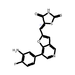 Nc1cc(-c2cncc3cc(/C=C4\SC(=S)NC4=O)oc23)ccc1F